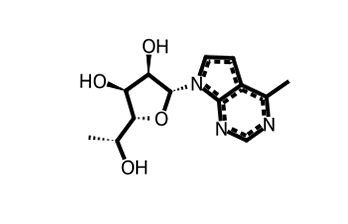 Cc1ncnc2c1ccn2[C@@H]1O[C@H]([C@@H](C)O)[C@@H](O)[C@H]1O